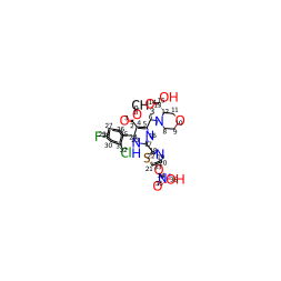 COC(=O)C1=C(CN2CCOC[C@H]2C(=O)O)N=C(c2nccs2)N[C@H]1c1ccc(F)cc1Cl.O=[N+]([O-])O